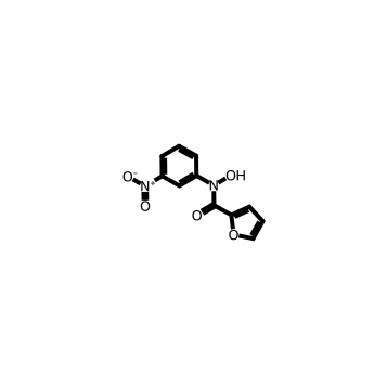 O=C(c1ccco1)N(O)c1cccc([N+](=O)[O-])c1